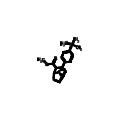 COC(=O)C1C(c2cc[c]([Sn]([CH3])([CH3])[CH3])cc2)CC2CCC1N2C